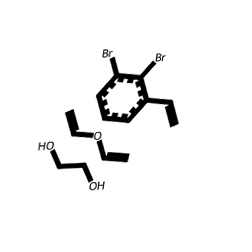 C=COC=C.C=Cc1cccc(Br)c1Br.OCCO